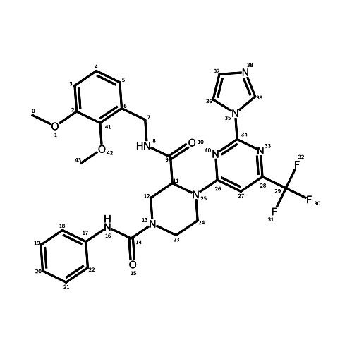 COc1cccc(CNC(=O)C2CN(C(=O)Nc3ccccc3)CCN2c2cc(C(F)(F)F)nc(-n3ccnc3)n2)c1OC